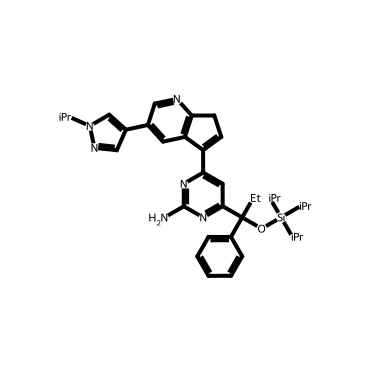 CCC(O[Si](C(C)C)(C(C)C)C(C)C)(c1ccccc1)c1cc(C2=CCc3ncc(-c4cnn(C(C)C)c4)cc32)nc(N)n1